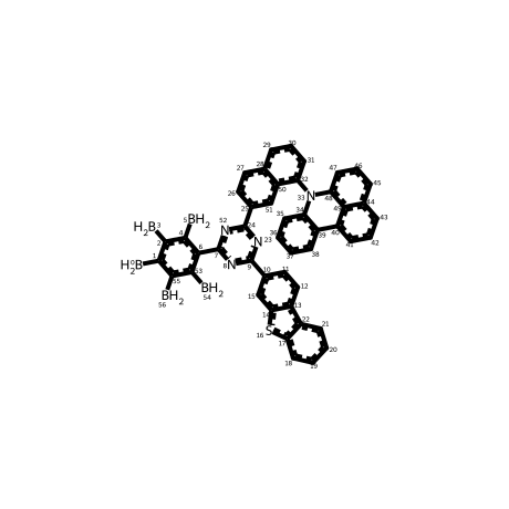 Bc1c(B)c(B)c(-c2nc(-c3ccc4c(c3)sc3ccccc34)nc(-c3ccc4cccc(N5c6ccccc6-c6cccc7cccc5c67)c4c3)n2)c(B)c1B